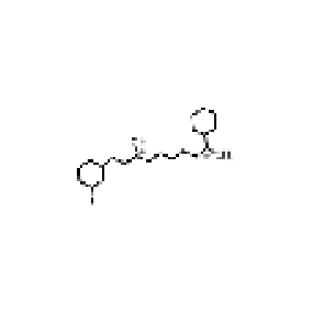 C[C@@H](CCCCC[C@@H](O)CCC1CCCC(F)C1)C1CCCCC1